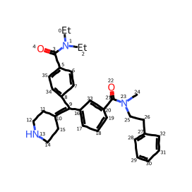 CCN(CC)C(=O)c1ccc(C(=C2CCNCC2)c2cccc(C(=O)N(C)CCc3ccccc3)c2)cc1